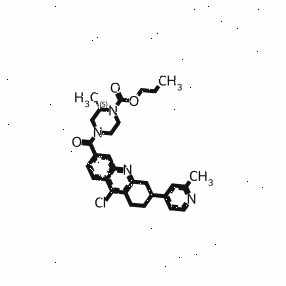 CCCOC(=O)N1CCN(C(=O)c2ccc3c(Cl)c4c(nc3c2)CC(c2ccnc(C)c2)CC4)C[C@@H]1C